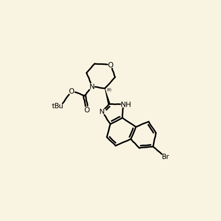 CC(C)(C)OC(=O)N1CCOC[C@H]1c1nc2ccc3cc(Br)ccc3c2[nH]1